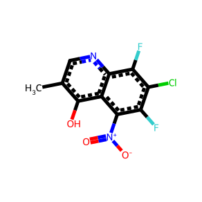 Cc1cnc2c(F)c(Cl)c(F)c([N+](=O)[O-])c2c1O